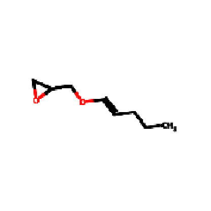 CCCC=COCC1CO1